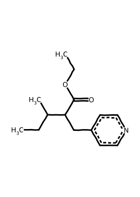 CCOC(=O)C(Cc1ccncc1)C(C)CC